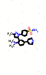 CN(C)c1ccc(-c2ccncc2)cc1-c1cc(C(F)(F)F)nn1-c1ccc(S(N)(=O)=O)cc1